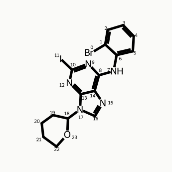 Brc1ccccc1Nc1nc(I)nc2c1ncn2C1CCCCO1